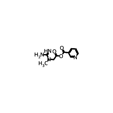 CN(CC(=O)OC(=O)c1cccnc1)C(=N)N